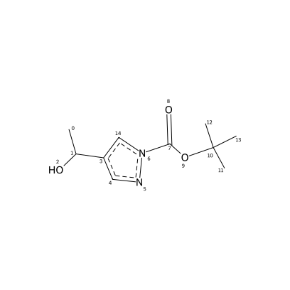 CC(O)c1cnn(C(=O)OC(C)(C)C)c1